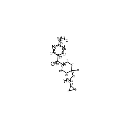 CC1(CNC2CC2)CCN(C(=O)c2cnc(N)nc2)CC1